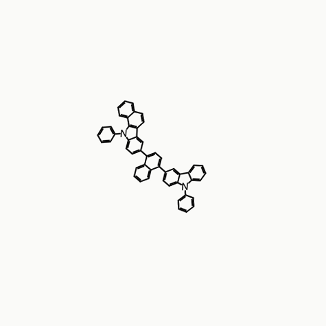 c1ccc(-n2c3ccccc3c3cc(-c4ccc(-c5ccc6c(c5)c5ccc7ccccc7c5n6-c5ccccc5)c5ccccc45)ccc32)cc1